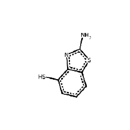 Nc1nc2c(S)cccc2s1